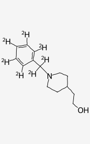 [2H]c1c([2H])c([2H])c(C([2H])([2H])N2CCC(CCO)CC2)c([2H])c1[2H]